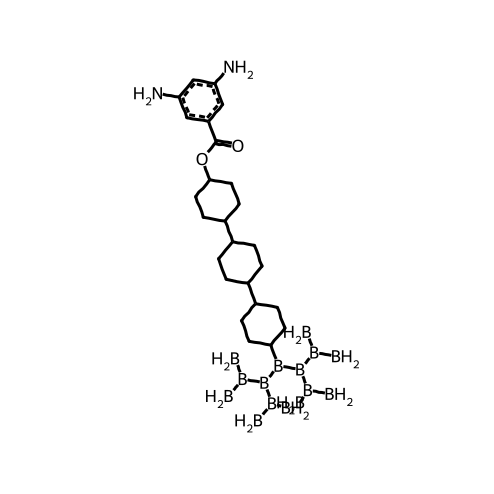 BB(B)B(B(B)B)B(B(B(B)B)B(B)B)C1CCC(C2CCC(C3CCC(OC(=O)c4cc(N)cc(N)c4)CC3)CC2)CC1